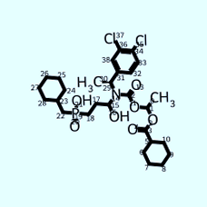 CC(OC(=O)C1CCCCC1)OC(=O)N(C(O)CCP(=O)(O)CC1CCCCC1)[C@@H](C)c1ccc(Cl)c(Cl)c1